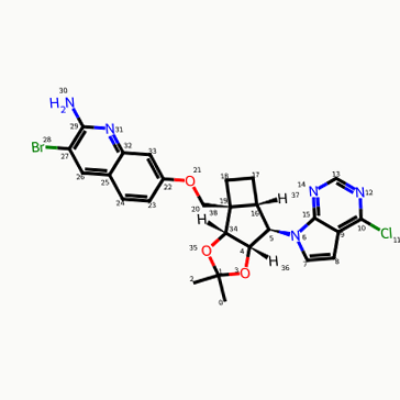 CC1(C)O[C@H]2[C@H](n3ccc4c(Cl)ncnc43)[C@H]3CC[C@@]3(COc3ccc4cc(Br)c(N)nc4c3)[C@H]2O1